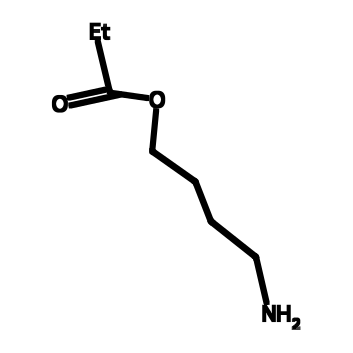 CCC(=O)OCCCCN